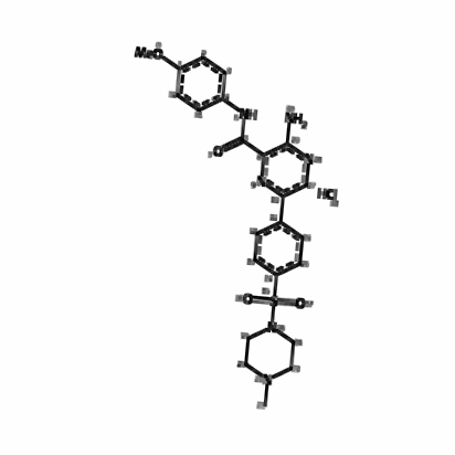 COc1ccc(NC(=O)c2nc(-c3ccc(S(=O)(=O)N4CCN(C)CC4)cc3)cnc2N)cc1.Cl